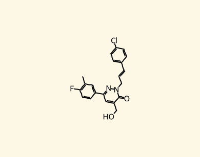 Cc1cc(-c2cc(CO)c(=O)n(CC=Cc3ccc(Cl)cc3)n2)ccc1F